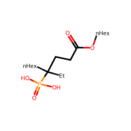 CCCCCCOC(=O)CCC(CC)(CCCCCC)P(=O)(O)O